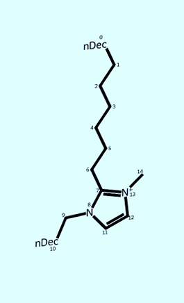 CCCCCCCCCCCCCCCCc1n(CCCCCCCCCCC)cc[n+]1C